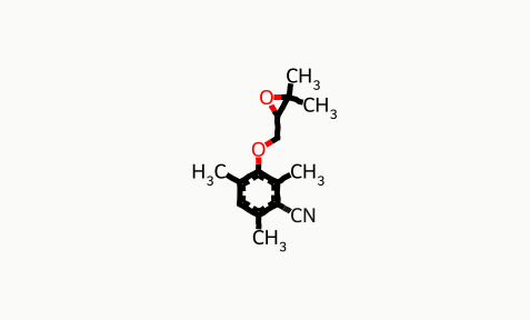 Cc1cc(C)c(OCC2OC2(C)C)c(C)c1C#N